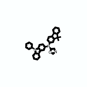 CC1(C)c2ccccc2-c2ccc(N(c3ccc4c(c3)c3ccccc3n4-c3ccccc3)c3cnco3)cc21